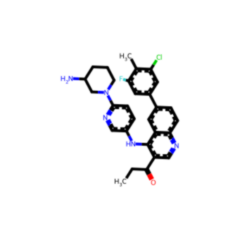 CCC(=O)c1cnc2ccc(-c3cc(F)c(C)c(Cl)c3)cc2c1Nc1ccc(N2CCCC(N)C2)nc1